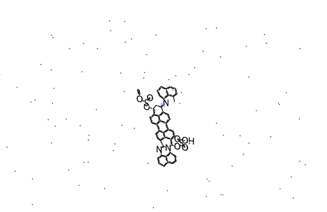 C#COS(=O)OC1=c2ccc3c4ccc5c6c(ccc(c7ccc(c2c73)/C(=N/c2cccc3cccc(C)c23)C1)c64)=C(OS(=O)(=O)O)N1C5=Nc2cccc3cccc1c23